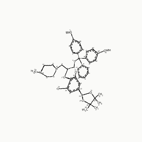 COc1ccc(C(OCC(CN2CCN(C)CC2)Oc2c(Cl)cc(B3OC(C)(C)C(C)(C)O3)cc2Cl)(c2ccccc2)c2ccc(OC)cc2)cc1